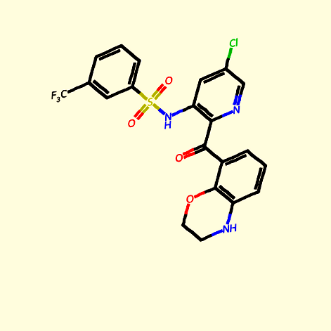 O=C(c1cccc2c1OCCN2)c1ncc(Cl)cc1NS(=O)(=O)c1cccc(C(F)(F)F)c1